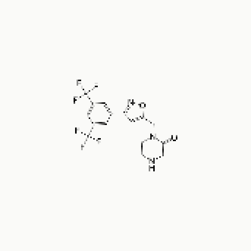 O=C1CNCCN1Cc1cc(-c2cc(C(F)(F)F)cc(C(F)(F)F)c2)no1